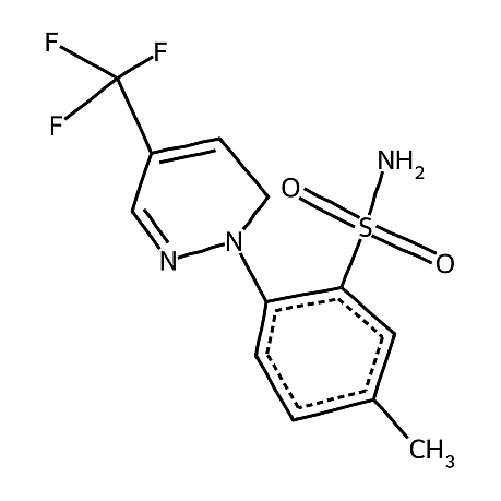 Cc1ccc(N2CC=C(C(F)(F)F)C=N2)c(S(N)(=O)=O)c1